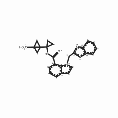 O=C(NC1(C23CC2(C(=O)O)C3)CC1)c1cccc2ccn(Cc3nc4ccccc4s3)c12